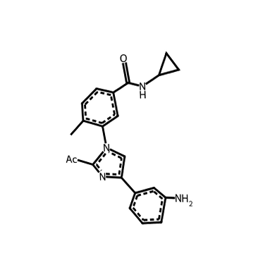 CC(=O)c1nc(-c2cccc(N)c2)cn1-c1cc(C(=O)NC2CC2)ccc1C